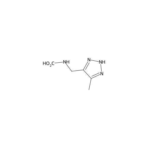 Cc1n[nH]nc1CNC(=O)O